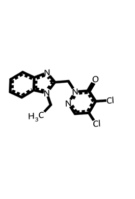 CCn1c(Cn2ncc(Cl)c(Cl)c2=O)nc2ccccc21